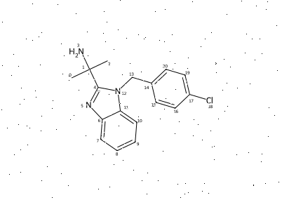 CC(C)(N)c1nc2ccccc2n1Cc1ccc(Cl)cc1